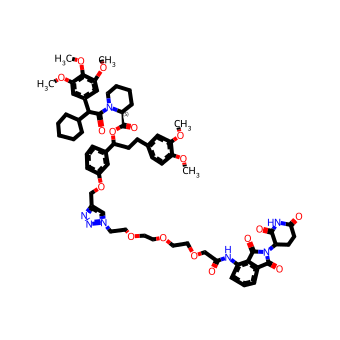 COc1ccc(CCC(OC(=O)[C@@H]2CCCCN2C(=O)C(c2cc(OC)c(OC)c(OC)c2)C2CCCCC2)c2cccc(OCc3cn(CCOCCOCCOCC(=O)Nc4cccc5c4C(=O)N(C4CCC(=O)NC4=O)C5=O)nn3)c2)cc1OC